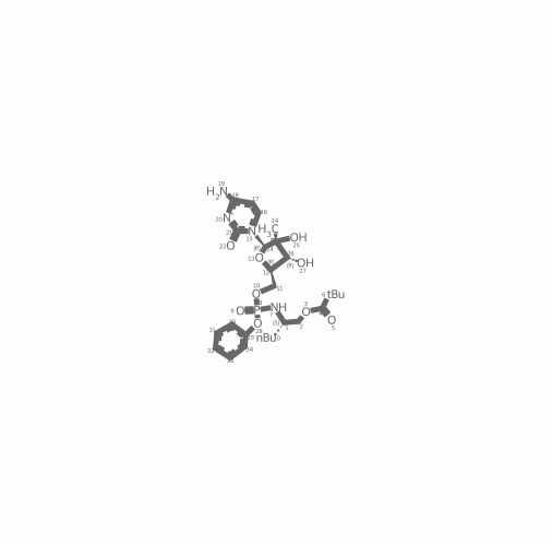 CCCC[C@@H](COC(=O)C(C)(C)C)NP(=O)(OC[C@H]1O[C@@H](n2ccc(N)nc2=O)[C@](C)(O)[C@@H]1O)Oc1ccccc1